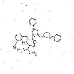 CC(N)C(=O)N[C@@H](Cc1cccc(C#N)c1)C(=O)N1C[C@@H](c2ccccc2)C[C@H]1CN1CC[C@@H](c2ccccc2)C1